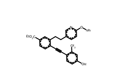 CCCOc1ccc(CCc2cc(C(=O)OCC)ccc2C#Cc2ccc(O)cc2C(F)(F)F)cn1